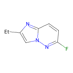 CCc1cn2nc(F)ccc2n1